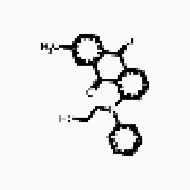 Cc1ccc2c(c1)C(=O)c1c(cccc1N(CCO)c1ccccc1)C2=O